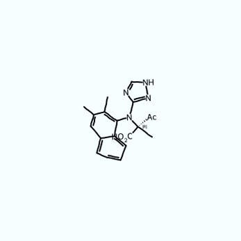 CC(=O)[C@](C)(C(=O)O)N(c1nc[nH]n1)c1c(C)c(C)cc2ccccc12